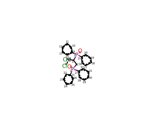 O=P(C[CH]([Ni]([Cl])[Cl])P(=O)(c1ccccc1)c1ccccc1)(c1ccccc1)c1ccccc1